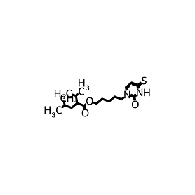 CC(C)CC(C(=O)OCCCCCn1ccc(=S)[nH]c1=O)C(C)C